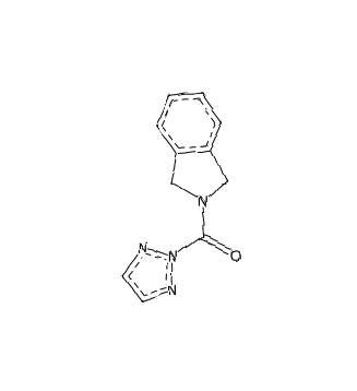 O=C(N1Cc2ccccc2C1)n1nccn1